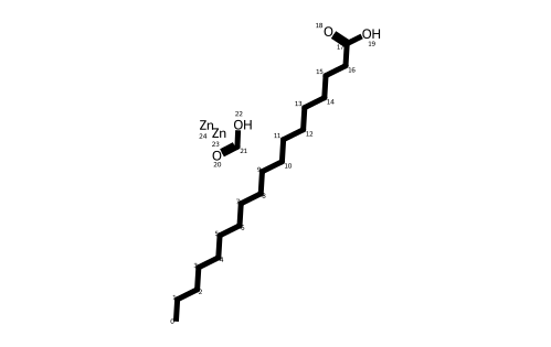 CCCCCCCCCCCCCCCCCC(=O)O.O=CO.[Zn].[Zn]